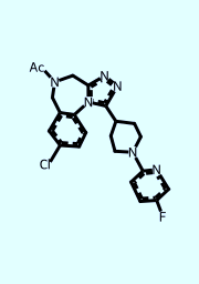 CC(=O)N1Cc2cc(Cl)ccc2-n2c(nnc2C2CCN(c3ccc(F)cn3)CC2)C1